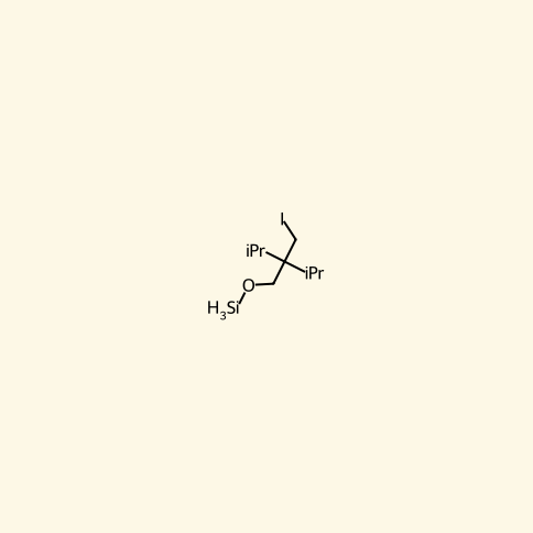 CC(C)C(CI)(CO[SiH3])C(C)C